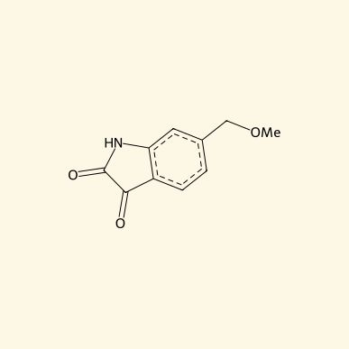 COCc1ccc2c(c1)NC(=O)C2=O